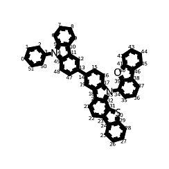 c1ccc(-n2c3ccccc3c3cc(-c4ccc5c(c4)c4ccc6c7ccccc7sc6c4n5-c4cccc5c4oc4ccccc45)ccc32)cc1